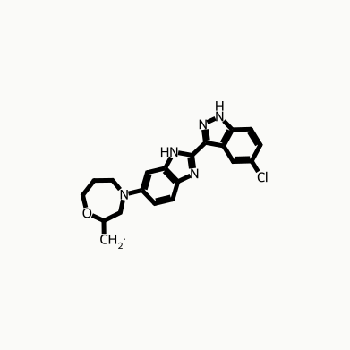 [CH2]C1CN(c2ccc3nc(-c4n[nH]c5ccc(Cl)cc45)[nH]c3c2)CCCO1